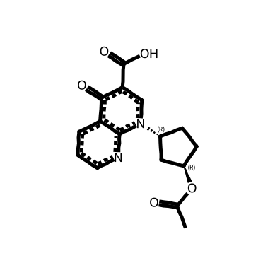 CC(=O)O[C@@H]1CC[C@@H](n2cc(C(=O)O)c(=O)c3cccnc32)C1